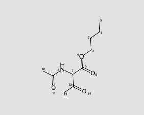 CCCCOC(=O)C(NC(C)=O)C(C)=O